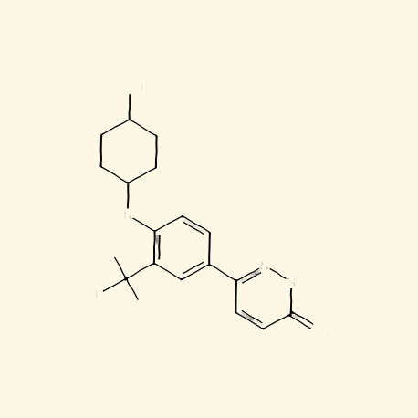 O=c1ccc(-c2ccc(NC3CCC(O)CC3)c(C(F)(F)F)c2)n[nH]1